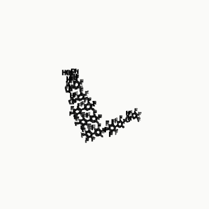 Cc1cc(-c2c(F)c(F)c(F)c(F)c2F)c(F)c(F)c1F.Cc1cc(-c2c(F)c(F)c(F)c(F)c2F)c(F)c(F)c1F.Cc1cc(-c2c(F)c(F)c(F)c(F)c2F)c(F)c(F)c1F.Cc1cc(-c2c(F)c(F)c(F)c(F)c2F)c(F)c(F)c1F.Fc1cc(N2CCCP2)c(F)c(F)c1F.Fc1cc(N2CCCP2)c(F)c(F)c1F.Fc1cc(N2CCCP2)c(F)c(F)c1F.OB(O)O